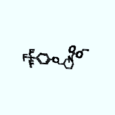 CCOC(=O)N1CCCC(COc2ccc(C(F)(F)F)cc2)C1